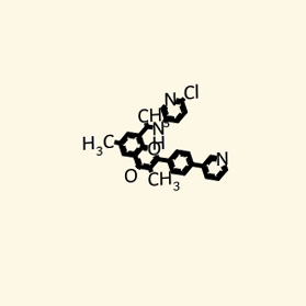 Cc1cc(C(C)Nc2ccc(Cl)nc2)c2oc(-c3ccc(-c4cccnc4)cc3)c(C)c(=O)c2c1